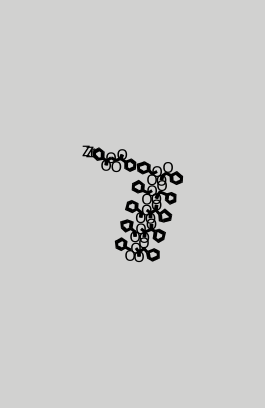 O=C(OC(=O)c1ccccc1)C(=O)c1ccccc1.O=C(OC(=O)c1ccccc1)C(=O)c1ccccc1.O=C(OC(=O)c1ccccc1)C(=O)c1ccccc1.O=C(OC(=O)c1ccccc1)C(=O)c1ccccc1.O=C(OC(=O)c1ccccc1)C(=O)c1ccccc1.O=C(OC(=O)c1ccccc1)C(=O)c1ccccc1.[Zr].[Zr]